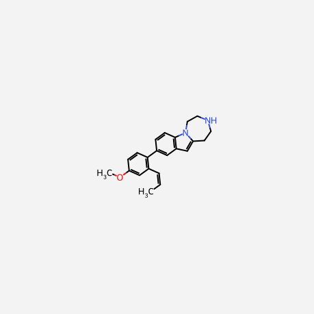 C/C=C\c1cc(OC)ccc1-c1ccc2c(c1)cc1n2CCNCC1